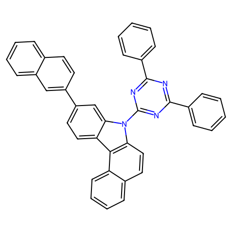 c1ccc(-c2nc(-c3ccccc3)nc(-n3c4cc(-c5ccc6ccccc6c5)ccc4c4c5ccccc5ccc43)n2)cc1